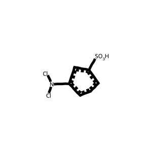 O=S(=O)(O)c1cccc(N(Cl)Cl)c1